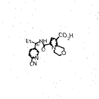 CC[C@@H](NC(=O)c1cc(C(=O)O)c2n1CCOC2)c1ccc(C#N)nc1